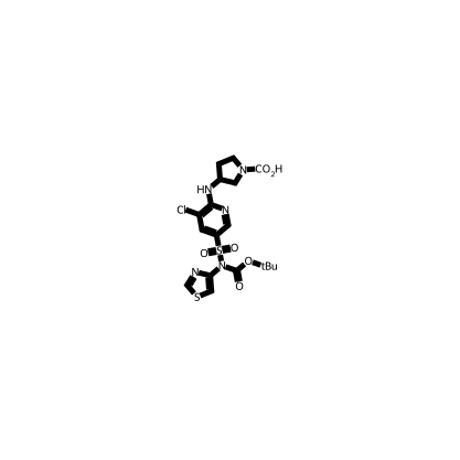 CC(C)(C)OC(=O)N(c1cscn1)S(=O)(=O)c1cnc(NC2CCN(C(=O)O)C2)c(Cl)c1